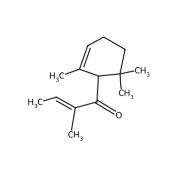 CC=C(C)C(=O)C1C(C)=CCCC1(C)C